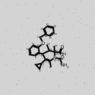 CC1=C(C2CC2)C(c2ccccc2OCc2ccccc2)C(C)C(C)(C(=O)O)N1C(N)=O